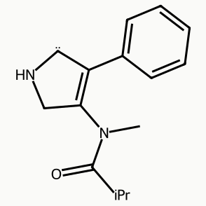 CC(C)C(=O)N(C)C1=C(c2ccccc2)[C]NC1